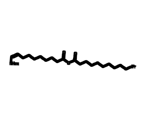 CCCCCC/C=C\CCCCCCCC(=O)OC(=O)CCCCCCCCCC(C)C